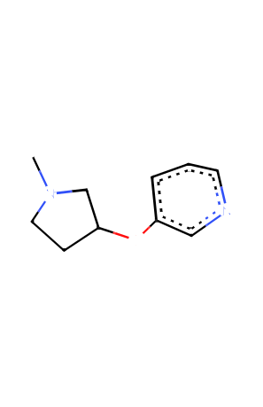 CN1CCC(Oc2[c]nccc2)C1